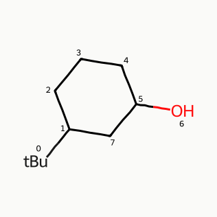 CC(C)(C)C1CCCC(O)C1